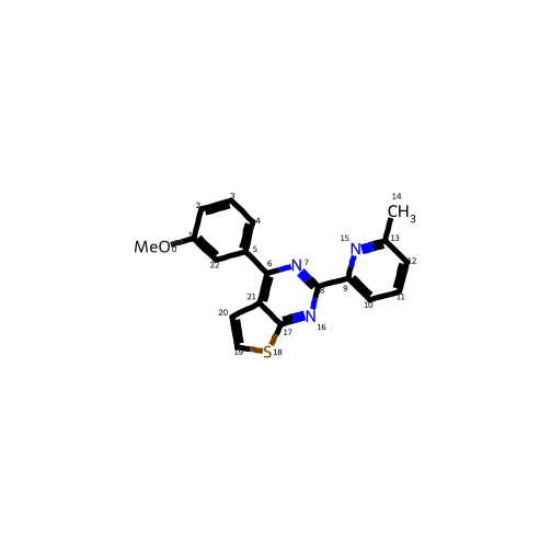 COc1cccc(-c2nc(-c3cccc(C)n3)nc3sccc23)c1